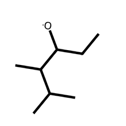 CCC([O])C(C)C(C)C